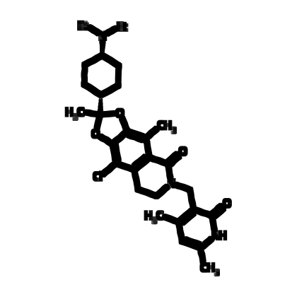 CCN(CC)[C@H]1CC[C@H](C2(C)Oc3c(C)c4c(c(Cl)c3O2)CCN(Cc2c(C)cc(C)[nH]c2=O)C4=O)CC1